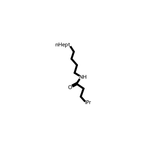 CCCCCCCCCCCNC(=O)CCC(C)C